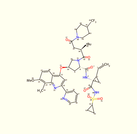 C=CC1C[C@@]1(NC(=O)[C@@H]1C[C@@H](Oc2cc(-c3ccccn3)nc3c(C)c(OC)ccc23)CN1C(=O)[C@@H](CC(=O)N1CCC(C(F)(F)F)CC1)C(C)(C)C)C(=O)NS(=O)(=O)C1CC1